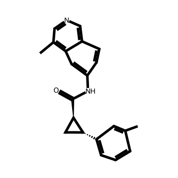 Cc1cccc([C@@H]2C[C@H]2C(=O)Nc2ccc3cncc(C)c3c2)c1